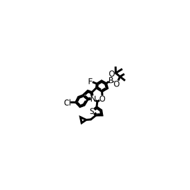 CC1(C)OB(c2cc(F)c3c(c2)OC(c2ccc(CC4CC4)s2)n2c-3cc3cc(Cl)ccc32)OC1(C)C